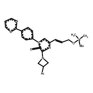 CC(=O)C1CN(c2nc(/C=C/CO[Si](C)(C)C(C)(C)C)cn(-c3ccc(-c4ncccn4)cc3)c2=O)C1